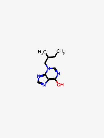 CCC(C)Cn1cnc(O)c2ncnc1-2